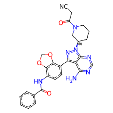 N#CCC(=O)N1CCC[C@@H](n2nc(-c3ccc(NC(=O)c4ccccc4)c4c3OCO4)c3c(N)ncnc32)C1